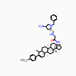 CC1C(c2ccc(C(=O)O)cc2)=CC[C@@]2(C)C1CC[C@@]1(C)C3CC[C@@]4(NC(=O)CNC[C@@H]5CC(N)CN5Cc5ccccc5)CCC[C@@H]4[C@H]3CCC21